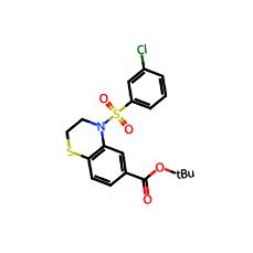 CC(C)(C)OC(=O)c1ccc2c(c1)N(S(=O)(=O)c1cccc(Cl)c1)CCS2